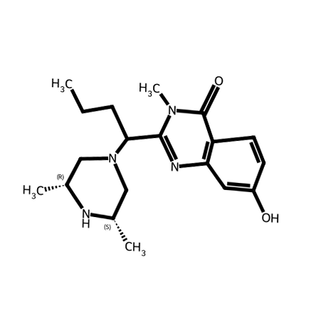 CCCC(c1nc2cc(O)ccc2c(=O)n1C)N1C[C@@H](C)N[C@@H](C)C1